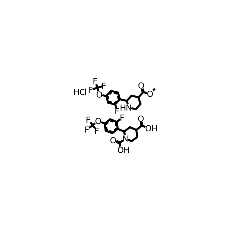 COC(=O)C1CCNC(c2ccc(OC(F)(F)F)cc2F)C1.Cl.O=C(O)C1CCN(C(=O)O)C(c2ccc(OC(F)(F)F)cc2F)C1